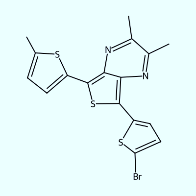 Cc1ccc(-c2sc(-c3ccc(Br)s3)c3nc(C)c(C)nc23)s1